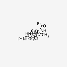 CCC(=O)CNC(C)(C)CC(C)C(=O)C(C)(C)NC(=O)CNC(C)C